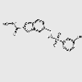 COc1cccc(S(=O)(=O)NCc2ccc3cc(C(=O)NO)sc3c2)c1